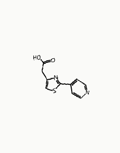 O=C(O)Cc1csc(-c2ccncc2)n1